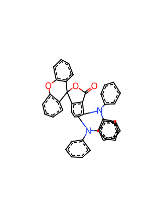 O=C1OC2(c3ccccc3Oc3ccccc32)c2ccc(N(c3ccccc3)c3ccccc3)c(N(c3ccccc3)c3ccccc3)c21